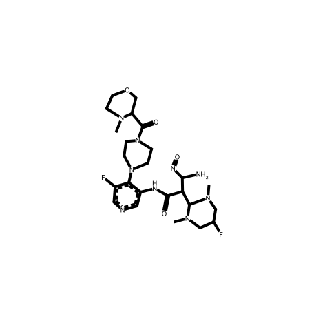 CN1CCOCC1C(=O)N1CCN(c2c(F)cncc2NC(=O)C(C(N)N=O)C2N(C)CC(F)CN2C)CC1